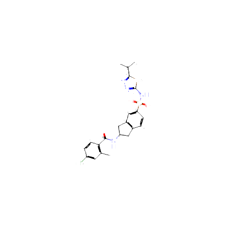 Cc1cc(Cl)ccc1C(=O)NC1Cc2ccc(S(=O)(=O)Nc3nnc(C(C)C)s3)cc2C1